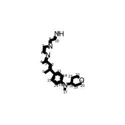 C\C(=C/C(C)=N/C=C\N=C\C=N)c1ccc(N(C)C2CCOCC2)cc1